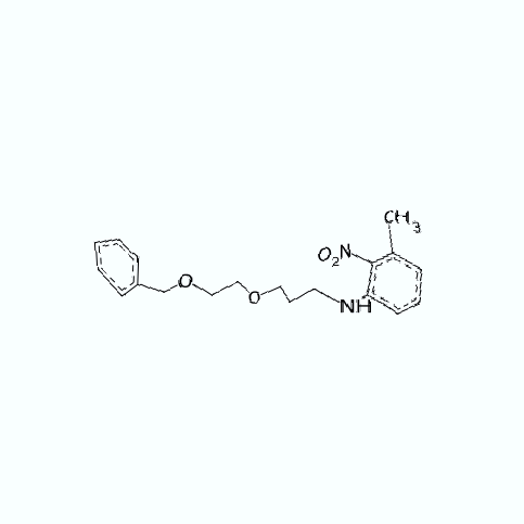 Cc1cccc(NCCCOCCOCc2ccccc2)c1[N+](=O)[O-]